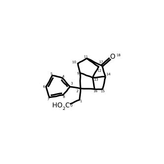 O=C(O)CC1(c2ccccc2)C2CC3CC24C(CC14)C3=O